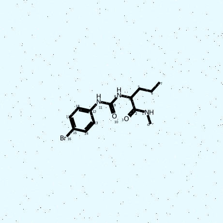 [CH2]NC(=O)C(CCC)NC(=O)Nc1ccc(Br)cc1